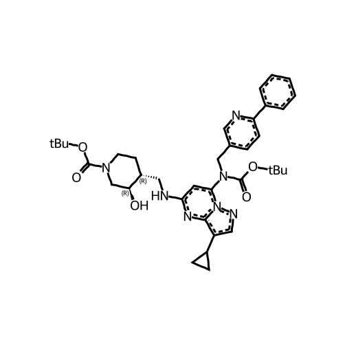 CC(C)(C)OC(=O)N1CC[C@H](CNc2cc(N(Cc3ccc(-c4ccccc4)nc3)C(=O)OC(C)(C)C)n3ncc(C4CC4)c3n2)[C@@H](O)C1